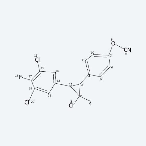 CC1(Cl)C(c2ccc(OC#N)cc2)C1c1cc(Cl)c(F)c(Cl)c1